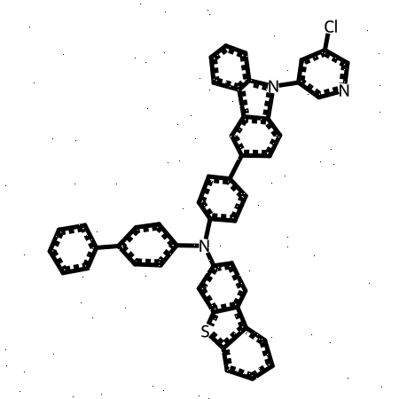 Clc1cncc(-n2c3ccccc3c3cc(-c4ccc(N(c5ccc(-c6ccccc6)cc5)c5ccc6c(c5)sc5ccccc56)cc4)ccc32)c1